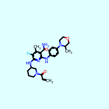 C=CC(=O)N1CCCC(Nc2nc(Nc3ccc(N4CCOCC4C)cc3)c(C(N)=O)c(C)c2F)C1